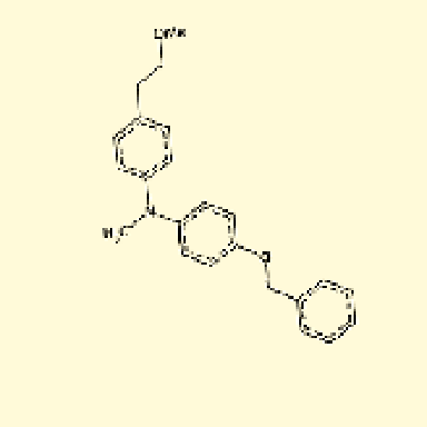 COCCc1ccc(N(C)c2ccc(OCc3ccccc3)cc2)cc1